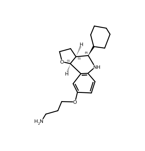 NCCCOc1ccc2c(c1)[C@H]1OCC[C@H]1[C@@H](C1CCCCC1)N2